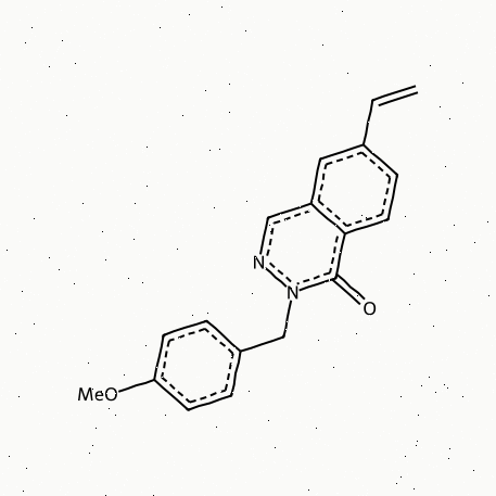 C=Cc1ccc2c(=O)n(Cc3ccc(OC)cc3)ncc2c1